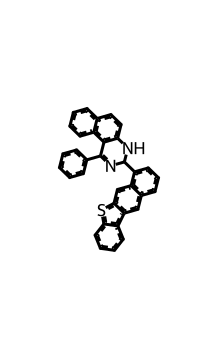 c1ccc(C2=NC(c3cccc4cc5c(cc34)sc3ccccc35)Nc3ccc4ccccc4c32)cc1